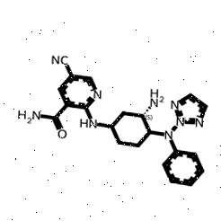 N#Cc1cnc(NC2CCC(N(c3ccccc3)n3nccn3)[C@@H](N)C2)c(C(N)=O)c1